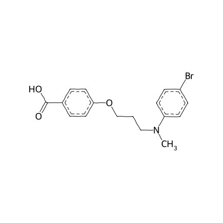 CN(CCCOc1ccc(C(=O)O)cc1)c1ccc(Br)cc1